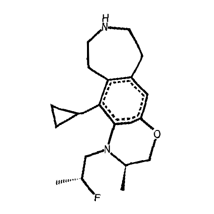 C[C@@H]1COc2cc3c(c(C4CC4)c2N1C[C@@H](C)F)CCNCC3